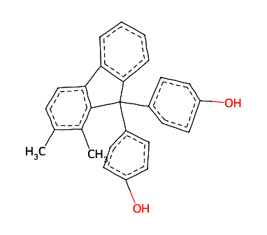 Cc1ccc2c(c1C)C(c1ccc(O)cc1)(c1ccc(O)cc1)c1ccccc1-2